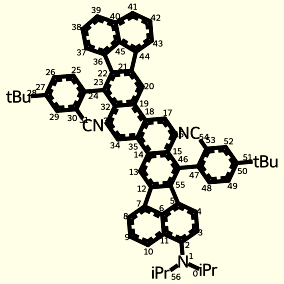 CC(C)N(c1ccc2c3c(cccc13)-c1cc3c(ccc4c5cc6c(c(-c7ccc(C(C)(C)C)cc7C#N)c5ccc34)-c3cccc4cccc-6c34)c(-c3ccc(C(C)(C)C)cc3C#N)c1-2)C(C)C